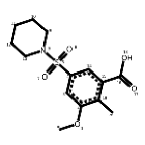 COc1cc(S(=O)(=O)N2CCCCC2)cc(C(=O)O)c1C